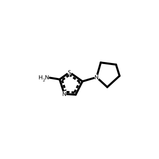 Nc1ncc(N2CCCC2)s1